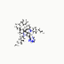 CCCCc1ccc(N2c3ccc(C4CCCCC4)cc3B3c4cc(C5CCCCC5)ccc4N(c4ccc(CCCC)cc4)c4cc(-c5ncncn5)cc2c43)cc1